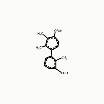 COc1ccc(-c2cccc(C=O)c2C)c(C)c1C